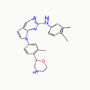 Cc1ccc(Nc2ncc3ccn(-c4ccc(C5CNCCO5)c(C)c4)c3n2)cc1C